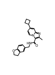 Cc1nc2cc(C3CCC3)ccn2c1C(=O)NCc1ccc2c(c1)CCO2